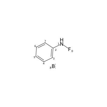 FNc1ccccc1.[B]